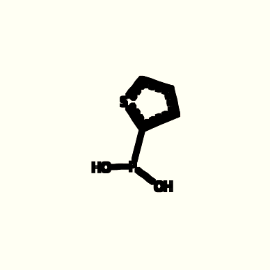 OP(O)c1cccs1